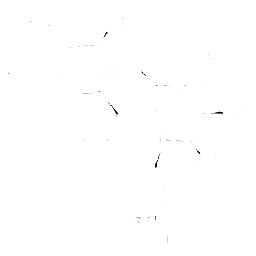 CC(=O)OC[C@H]1O[C@H](OC(C)=O)[C@H](OC(C)=O)[C@@H](OC(C)=O)[C@@H]1O[C@@H]1O[C@H](COC(=O)C(C)C)[C@H](OC(C)=O)[C@H](OC(C)=O)[C@H]1OC(C)=O